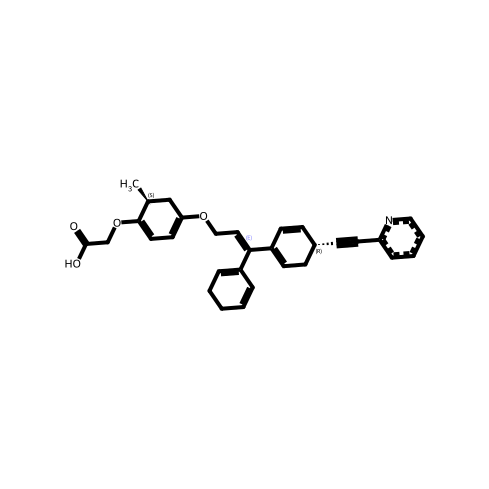 C[C@H]1CC(OC/C=C(\C2=CCCC=C2)C2=CC[C@@H](C#Cc3ccccn3)C=C2)=CC=C1OCC(=O)O